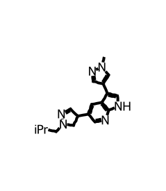 CC(C)CN1CC(c2cnc3[nH]cc(-c4cnn(C)c4)c3c2)C=N1